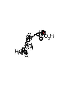 O=C(O)N(c1ccc(CCCCn2c(=O)oc3cc(CNC[C@@H](O)c4ccc(O)c5[nH]c(=O)ccc45)ccc32)cc1-c1ccccc1)[C@H]1CN2CCC1CC2